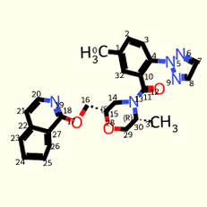 Cc1ccc(-n2nccn2)c(C(=O)N2C[C@@H](COc3nccc4ccccc34)OC[C@H]2C)c1